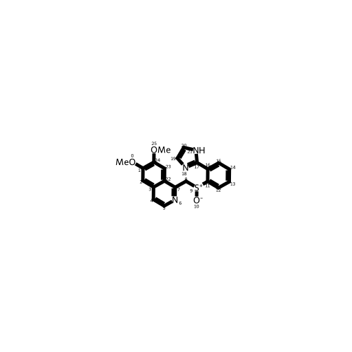 COc1cc2ccnc(C[S+]([O-])c3ccccc3-c3ncc[nH]3)c2cc1OC